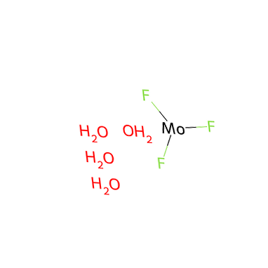 O.O.O.O.[F][Mo]([F])[F]